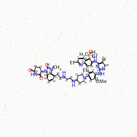 CCc1ccc2c(P(C)(C)=O)c(Nc3nc(Nc4cc(CC)c(N5CCC(NCCNCCc6cccc7c6n(C)c(=O)n7C6CCC(=O)NC6=O)CC5)cc4OC)ncc3Br)ccc2n1